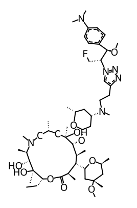 CC[C@H]1OC(=O)[C@H](C)[C@@H](C2C[C@@](C)(OC)C[C@H](C)O2)[C@H](C)[C@@H](O[C@H]2C[C@@H](N(C)CCc3cn([C@H](CF)[C@H](OC)c4ccc(N(C)C)cc4)nn3)C[C@@H](C)O2)[C@](C)(O)C[C@@H](C)CN(C)[C@H](C)[C@@H](O)[C@]1(C)O